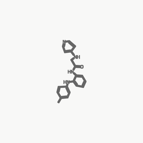 Cc1ccc(Nc2ccccc2NC(=O)CNc2ccncc2)cc1